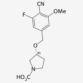 COc1cc(CO[C@@H]2CCN(C(=O)O)C2)cc(F)c1C#N